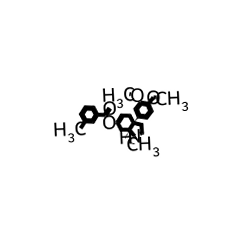 COc1ccc([C@@]23CC=C(OC(=O)c4cccc(C)c4)C[C@@H]2N(C)CC3)cc1OC